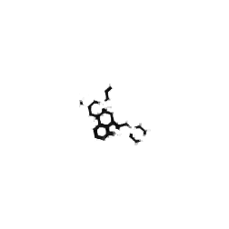 C=CCN1C[C@H](CO)C[C@@H]2c3cccc4[nH]c(CN5CCOCC5)c(c34)C[C@H]21